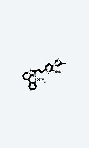 COc1nc(C=Cc2nc3n(n2)CCCC3c2ccccc2OC(F)(F)F)ccc1-n1cnc(C)c1